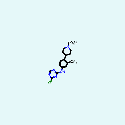 Cc1cc(Nc2ncnc(Cl)n2)ccc1C1CCN(C(=O)O)CC1